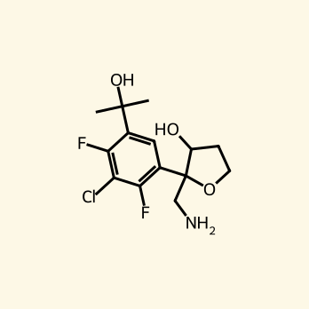 CC(C)(O)c1cc(C2(CN)OCCC2O)c(F)c(Cl)c1F